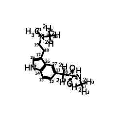 [2H]C([2H])([2H])NS(=O)(=O)C([2H])([2H])c1ccc2[nH]cc(CCN(C)C([2H])([2H])[2H])c2c1